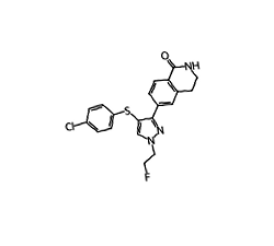 O=C1NCCc2cc(-c3nn(CCF)cc3Sc3ccc(Cl)cc3)ccc21